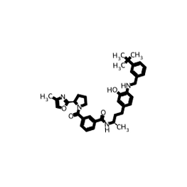 Cc1coc([C@H]2CCCN2C(=O)c2cccc(C(=O)N[C@@H](C)CCc3ccc(NCc4cccc(C(C)(C)C)c4)c(O)c3)c2)n1